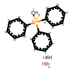 Br.C[PH](c1ccccc1)(c1ccccc1)c1ccccc1.[KH]